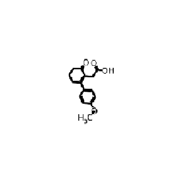 COc1ccc(C2=C(CC(=O)O)C(=O)CCC2)cc1